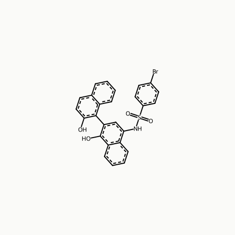 O=S(=O)(Nc1cc(-c2c(O)ccc3ccccc23)c(O)c2ccccc12)c1ccc(Br)cc1